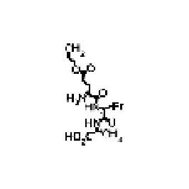 C=CCOC(=O)CC[C@H](N)C(=O)N[C@H](C(=O)N[C@@H](C)C(=O)O)C(C)C